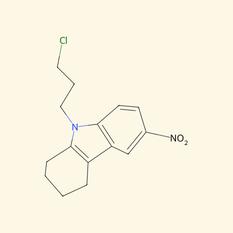 O=[N+]([O-])c1ccc2c(c1)c1c(n2CCCCl)CCCC1